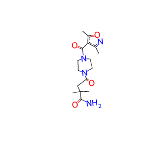 Cc1noc(C)c1C(=O)N1CCN(C(=O)CC(C)(C)C(N)=O)CC1